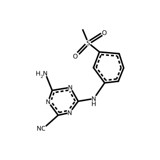 CS(=O)(=O)c1cccc(Nc2nc(N)nc(C#N)n2)c1